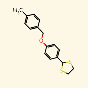 Cc1ccc(COc2ccc(C3SCCS3)cc2)cc1